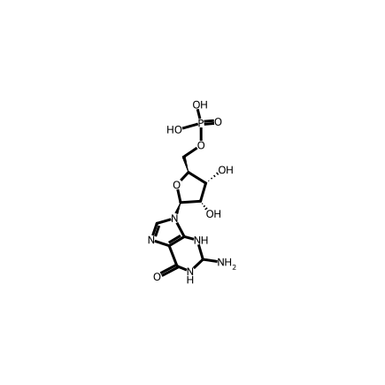 NC1NC(=O)c2ncn([C@H]3O[C@@H](COP(=O)(O)O)[C@H](O)[C@@H]3O)c2N1